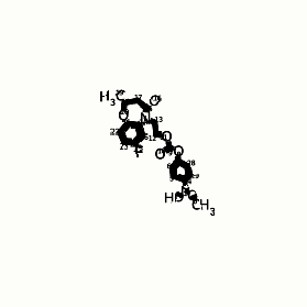 CON(O)c1ccc(OC(=O)OCCN2C(=O)C[C@@H](C)Oc3ccc(F)cc32)cc1